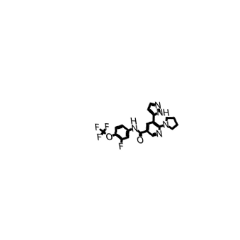 O=C(Nc1ccc(OC(F)(F)F)c(F)c1)c1cnc(N2CCCC2)c(-c2ccn[nH]2)c1